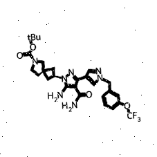 CC(C)(C)OC(=O)N1CC[C@]2(C1)C[C@H](n1nc(-c3cnn(Cc4cccc(OC(F)(F)F)c4)c3)c(C(N)=O)c1N)C2